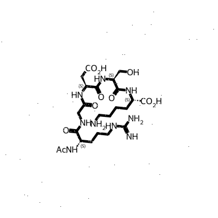 CC(=O)N[C@@H](CCCNC(=N)N)C(=O)NCC(=O)N[C@@H](CC(=O)O)C(=O)N[C@@H](CO)C(=O)N[C@@H](CCCCN)C(=O)O